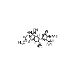 CCCC(=N)c1nc(-c2cc(S(=N)(=NC#N)N3CCN(C)CC3)ccc2OCC)[nH]c(=O)c1NC